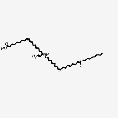 CCCCCCCCOC(=O)CCCCCCC/C=C\CCCCCCCCNC(CN)CCCCCCCC/C=C\CCCCCCCC(=O)O